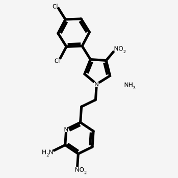 N.Nc1nc(CCn2cc(-c3ccc(Cl)cc3Cl)c([N+](=O)[O-])c2)ccc1[N+](=O)[O-]